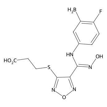 Bc1cc(N/C(=N\O)c2nonc2SCCC(=O)O)ccc1F